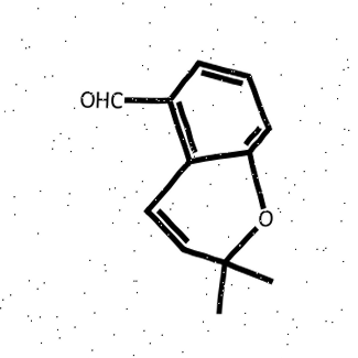 CC1(C)C=Cc2c(C=O)cccc2O1